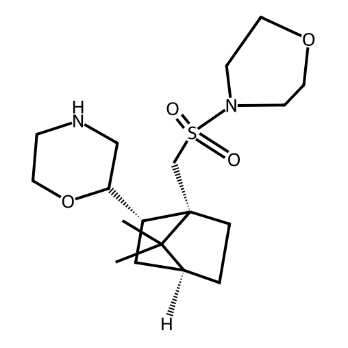 CC1(C)[C@H]2CC[C@]1(CS(=O)(=O)N1CCOCC1)[C@@H](C1CNCCO1)C2